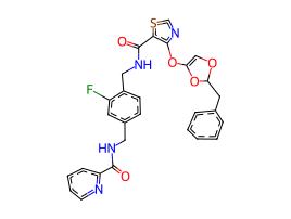 O=C(NCc1ccc(CNC(=O)c2scnc2OC2=COC(Cc3ccccc3)O2)c(F)c1)c1ccccn1